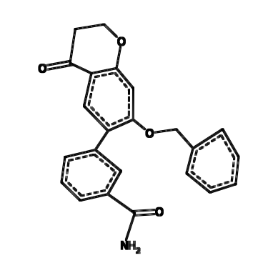 NC(=O)c1cccc(-c2cc3c(cc2OCc2ccccc2)OCCC3=O)c1